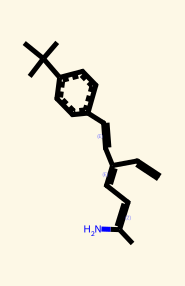 C=CC(/C=C/c1ccc(C(C)(C)C)cc1)=C\C=C(\C)N